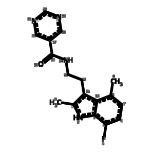 Cc1[nH]c2c(F)ccc(C)c2c1CCNC(=O)c1cncnc1